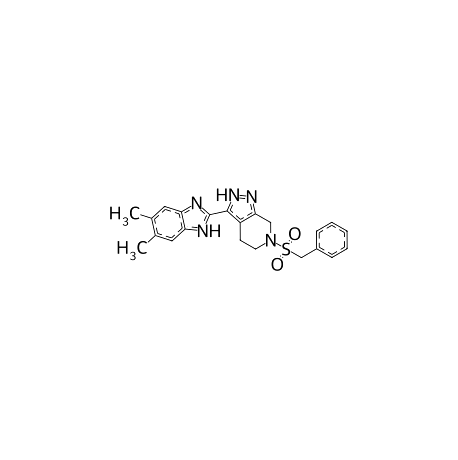 Cc1cc2nc(-c3[nH]nc4c3CCN(S(=O)(=O)Cc3ccccc3)C4)[nH]c2cc1C